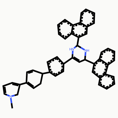 CN1C=CC=C(C2=CCC(c3ccc(C4=CC(c5cc6ccccc6c6ccccc56)NC(c5cc6ccccc6c6ccccc56)N4)cc3)C=C2)C1